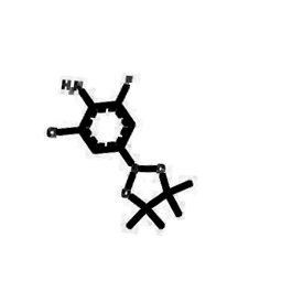 CC1(C)OB(c2cc(F)c(N)c(Cl)c2)OC1(C)C